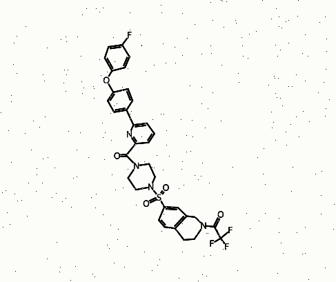 O=C(c1cccc(-c2ccc(Oc3ccc(F)cc3)cc2)n1)N1CCN(S(=O)(=O)c2ccc3c(c2)CN(C(=O)C(F)(F)F)CC3)CC1